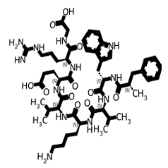 CC(C)[C@H](NC(=O)[C@H](CCCCN)NC(=O)[C@@H](NC(=O)[C@H](Cc1c[nH]c2ccccc12)NC(=O)[C@@H](C)Cc1ccccc1)C(C)C)C(=O)N[C@@H](CCC(=O)O)C(=O)N[C@@H](CCCNC(=N)N)C(=O)NCC(=O)O